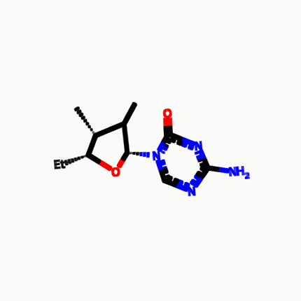 CC[C@H]1O[C@@H](n2cnc(N)nc2=O)C(C)[C@H]1C